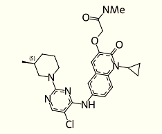 CNC(=O)COc1cc2cc(Nc3nc(N4CCC[C@H](C)C4)ncc3Cl)ccc2n(C2CC2)c1=O